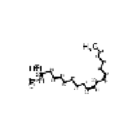 C1CO1.CCCCC/C=C\C/C=C\CCCCCCCC(=O)O